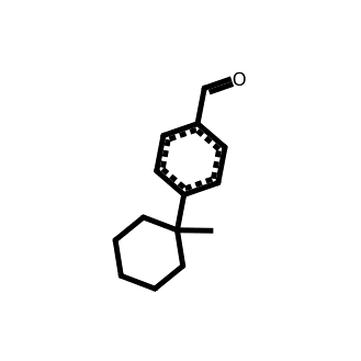 CC1(c2ccc(C=O)cc2)CCCCC1